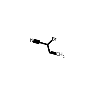 C=CC(Br)C#N